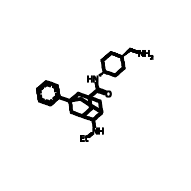 CCNC1C2CC3(C(=O)N[C@H]4CC[C@H](CN)CC4)CC1CC(c1ccccc1)(C2)C3